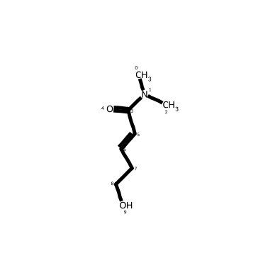 CN(C)C(=O)/C=C/CCO